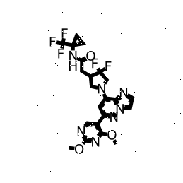 COc1ncc(-c2cc(N3CC(CC(=O)NC4(C(F)(F)F)CC4)C(F)(F)C3)c3nccn3n2)c(OC)n1